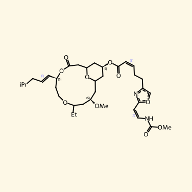 CCC1C[C@H](OC)CC2C[C@H](OC(=O)/C=C\CCc3coc(/C=C\NC(=O)OC)n3)CC(CC(=O)O[C@H](/C=C/CC(C)C)CCO1)O2